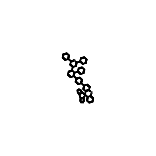 c1ccc(-c2cc(-c3cccc(-c4ccc(-c5ccc6c(c5)C5(c7ccccc7S6)c6ccccc6-c6ccccc65)cc4)c3-c3ccccc3)cc(-c3ccccc3)n2)cc1